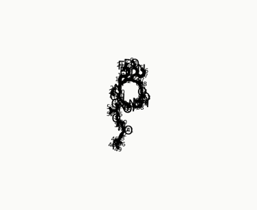 CO[C@@H](C)c1ncccc1-c1c2c3cc(ccc3n1CC(F)(F)F)N1CCO[C@@H](C[C@H](NC(=O)C(COC3CN(C(=O)C#CC(C)(C)N(C)C)C3)C(C)C)C(=O)N3CCC[C@H](N3)C(=O)OCC(C)(C)C2)C1